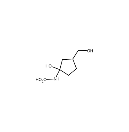 O=C(O)NC1(O)CCC(CO)C1